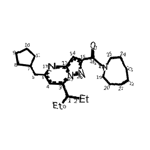 CCC(CC)c1cc(CC2CCCC2)nc2cc(C(=O)N3CCCCCCC3)nn12